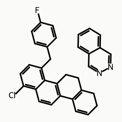 Fc1ccc(Cc2ccc(Cl)c3ccc4c(c23)CCC2=C4C=CCC2)cc1.c1ccc2cnncc2c1